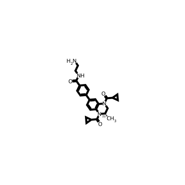 C[C@H]1CN(C(=O)C2CC2)c2cc(-c3ccc(C(=O)NCCN)cc3)ccc2N1C(=O)C1CC1